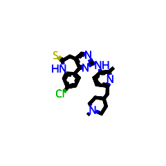 Cc1nc(CC2CCN(C)CC2)ccc1Nc1ncc2c(n1)-c1ccc(Cl)cc1NC(=S)C2